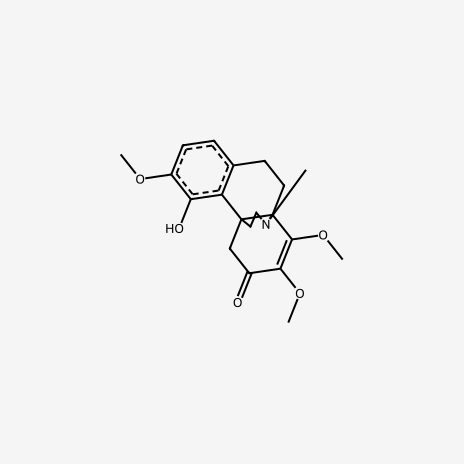 COC1=C(OC)C23CCc4ccc(OC)c(O)c4C2(CCN3C)CC1=O